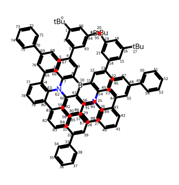 CC(C)(C)c1cc(-c2ccc3c(c2)B2c4cc(-c5cc(C(C)(C)C)cc(C(C)(C)C)c5)ccc4N(c4c(-c5cccc(-c6ccccc6)c5)cccc4-c4cccc(-c5ccccc5)c4)c4cccc(c42)N3c2c(-c3cccc(-c4ccccc4)c3)cccc2-c2cccc(-c3ccccc3)c2)cc(C(C)(C)C)c1